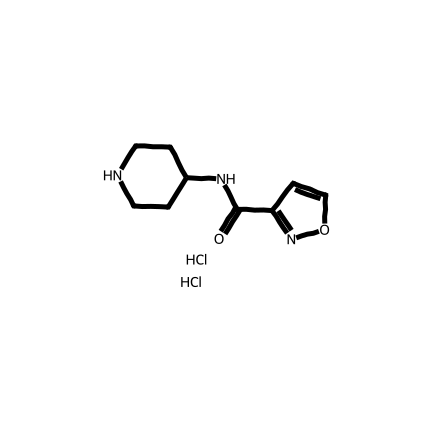 Cl.Cl.O=C(NC1CCNCC1)c1ccon1